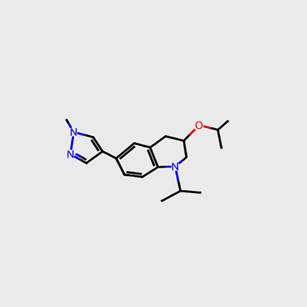 CC(C)OC1Cc2cc(-c3cnn(C)c3)ccc2N(C(C)C)C1